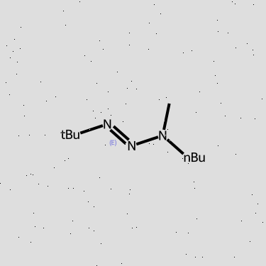 CCCCN(C)/N=N/C(C)(C)C